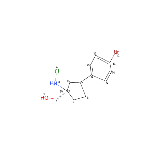 OC[C@@]1(NCl)CCC(c2ccc(Br)cc2)C1